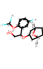 OCC(OC1C[C@H]2CC[C@@H](C1)O2)c1cc(F)ccc1OC(F)F